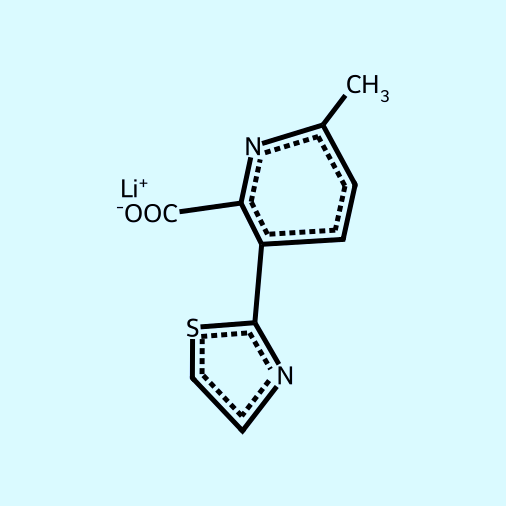 Cc1ccc(-c2nccs2)c(C(=O)[O-])n1.[Li+]